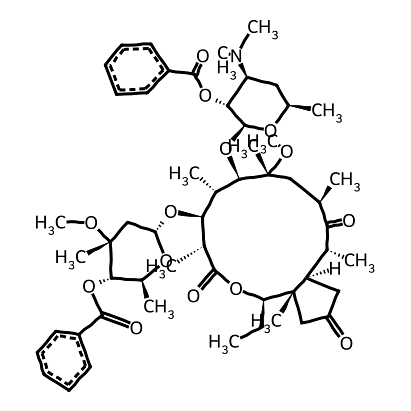 CC[C@H]1OC(=O)[C@H](C)[C@@H](O[C@H]2C[C@@](C)(OC)[C@@H](OC(=O)c3ccccc3)[C@H](C)O2)[C@H](C)[C@@H](O[C@@H]2O[C@H](C)C[C@H](N(C)C)[C@H]2OC(=O)c2ccccc2)[C@](C)(OC)C[C@@H](C)C(=O)[C@H](C)[C@H]2CC(=O)C[C@@]21C